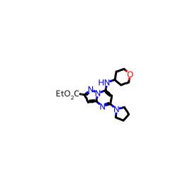 CCOC(=O)c1cc2nc(N3CCCC3)cc(NC3CCOCC3)n2n1